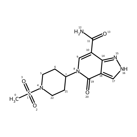 CS(=O)(=O)N1CCC(n2cc(C(N)=O)c3n[nH]cc3c2=O)CC1